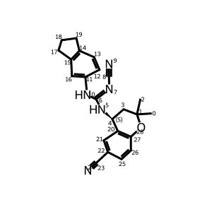 CC1(C)C[C@H](NC(=NC#N)Nc2ccc3c(c2)CCC3)c2cc(C#N)ccc2O1